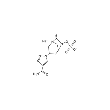 NC(=O)c1cn(C2=CC3CN(C2)C(=O)N3OS(=O)(=O)[O-])nn1.[Na+]